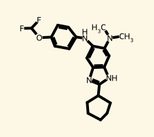 CN(C)c1cc2[nH]c(C3CCCCC3)nc2cc1Nc1ccc(OC(F)F)cc1